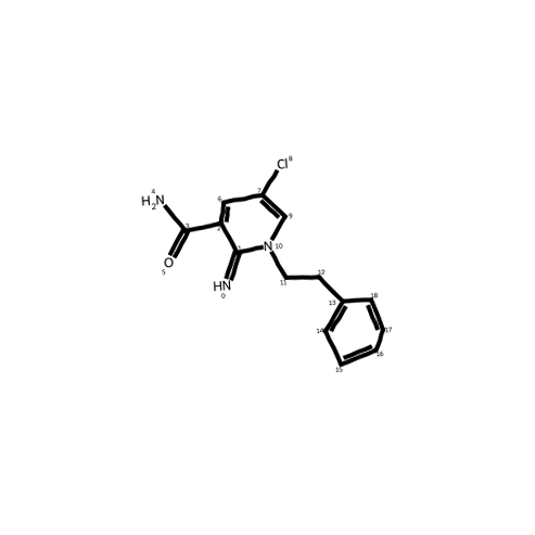 N=c1c(C(N)=O)cc(Cl)cn1CCc1ccccc1